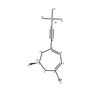 C[C@@H]1CC(Br)=CC=C(C#C[Si](C)(C)C)C1